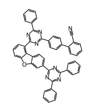 N#Cc1ccccc1-c1ccc(-c2nc(-c3ccccc3)nc(-c3cccc4oc5cc(-c6nc(-c7ccccc7)nc(-c7ccccc7)n6)ccc5c34)n2)cc1